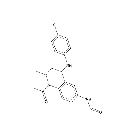 CC(=O)N1c2ccc(NC=O)cc2C(Nc2ccc(Cl)cc2)CC1C